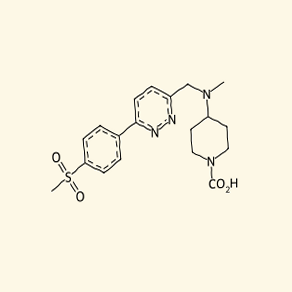 CN(Cc1ccc(-c2ccc(S(C)(=O)=O)cc2)nn1)C1CCN(C(=O)O)CC1